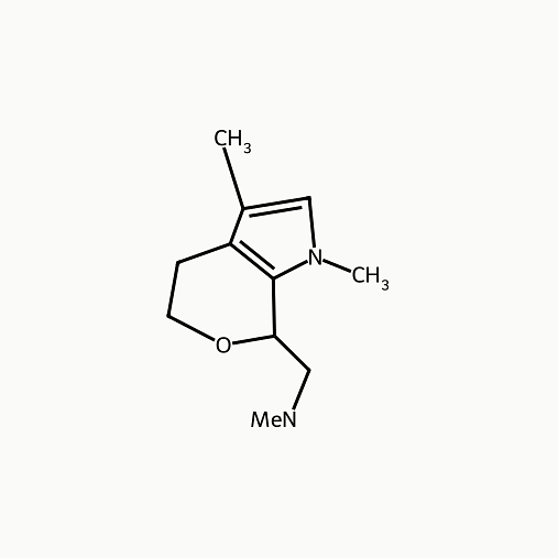 CNCC1OCCc2c(C)cn(C)c21